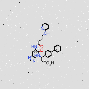 O=C(O)CC(NC(=O)[C@@H](Cc1c[nH]cn1)NC(=O)CCCNc1ccccn1)c1ccc(-c2ccccc2)cc1